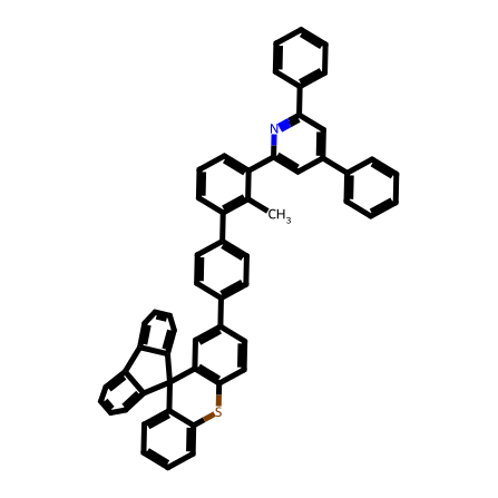 Cc1c(-c2ccc(-c3ccc4c(c3)C3(c5ccccc5S4)c4ccccc4-c4ccccc43)cc2)cccc1-c1cc(-c2ccccc2)cc(-c2ccccc2)n1